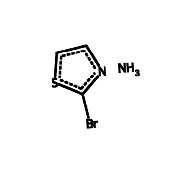 Brc1nccs1.N